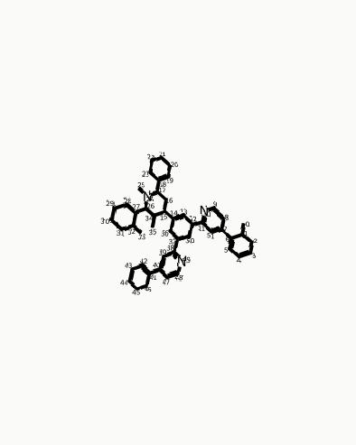 CC1CC=CC=C1c1ccnc(C2C=C(C3CC(C4=CCCCC4)N(C)C(C4CCCCC4C)C3C)CC(c3cc(C4=CC=CCC4)ccn3)C2)c1